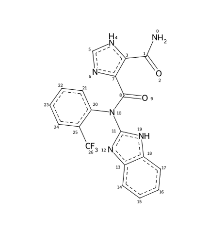 NC(=O)c1[nH]cnc1C(=O)N(c1nc2ccccc2[nH]1)c1ccccc1C(F)(F)F